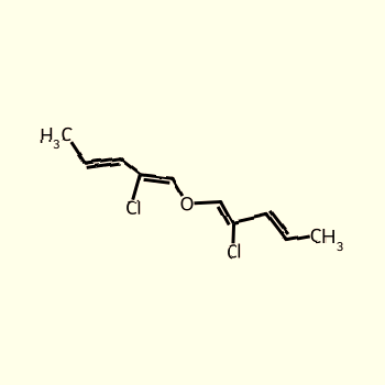 CC=CC(Cl)=COC=C(Cl)C=CC